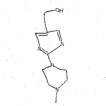 CN1CCN(c2ncc(CO)cn2)CC1